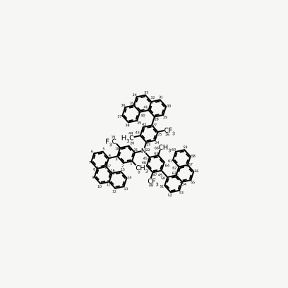 Cc1cc(-c2cccc3ccc4ccccc4c23)c(C(F)(F)F)cc1N(c1cc(C(F)(F)F)c(-c2cccc3ccc4ccccc4c23)cc1C)c1cc(C(F)(F)F)c(-c2cccc3ccc4ccccc4c23)cc1C